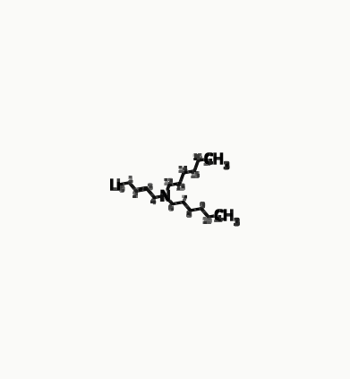 [Li][CH2]C=CCN(CCCCCC)CCCCCC